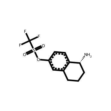 N[C@@H]1CCCc2cc(OS(=O)(=O)C(F)(F)F)ccc21